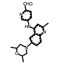 Cc1cc(Nc2ccc(C=O)nc2)c2cc(N3CC(C)OC(C)C3)ccc2n1